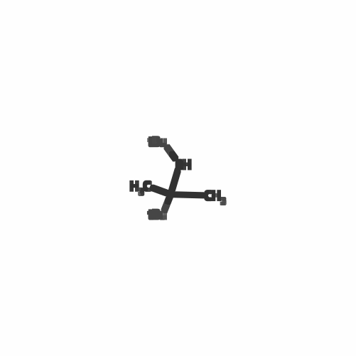 CC(C)(C)BC(C)(C)C(C)(C)C